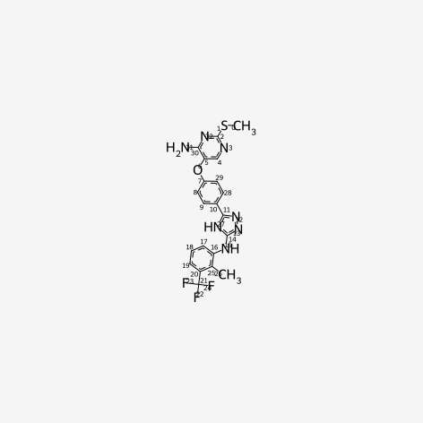 CSc1ncc(Oc2ccc(-c3nnc(Nc4cccc(C(F)(F)F)c4C)[nH]3)cc2)c(N)n1